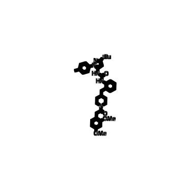 COc1ccc(CC(=O)N2CCC(Cc3ccccc3NC(=O)Nc3cc(C(C)(C)C)nn3-c3ccc(C)cc3)CC2)c(OC)c1